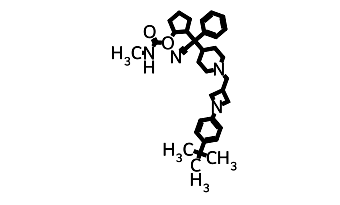 CNC(=O)OC1CCCC1C(C#N)(c1ccccc1)C1CCN(CC2CN(c3ccc(C(C)(C)C)cc3)C2)CC1